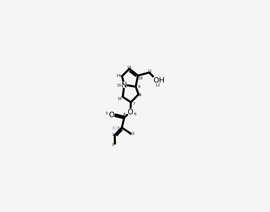 C/C=C(\C)C(=O)OC1CC2C(CO)=CCN2C1